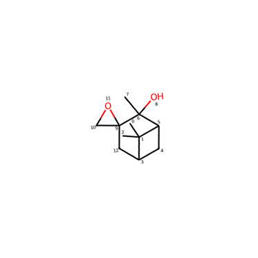 CC1(C)C2CC1C(C)(O)C1(CO1)C2